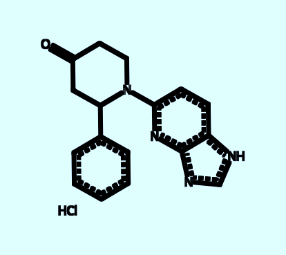 Cl.O=C1CCN(c2ccc3[nH]cnc3n2)C(c2ccccc2)C1